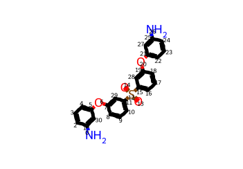 Nc1cccc(Oc2cccc(S(=O)(=O)c3cccc(Oc4cccc(N)c4)c3)c2)c1